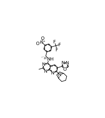 Cc1nc(N[C@H](C)c2cc([N+](=O)[O-])cc(C(F)(F)F)c2)c2cc(-c3nnco3)c(N3C4CCCC3CC4)nc2n1